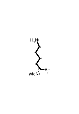 CN[C@H](CCCCN)C(C)=O